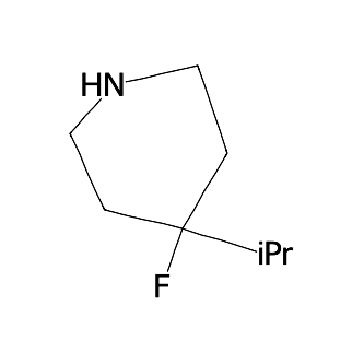 CC(C)C1(F)CCNCC1